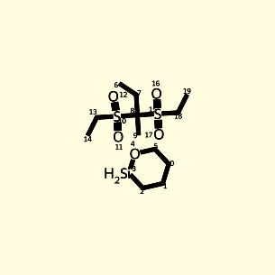 C1CC[SiH2]OC1.CCC(C)(S(=O)(=O)CC)S(=O)(=O)CC